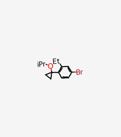 CCc1cc(Br)ccc1C1(OC(C)C)CC1